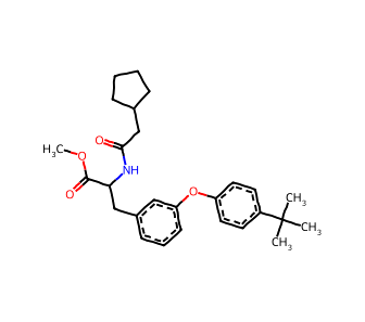 COC(=O)C(Cc1cccc(Oc2ccc(C(C)(C)C)cc2)c1)NC(=O)CC1CCCC1